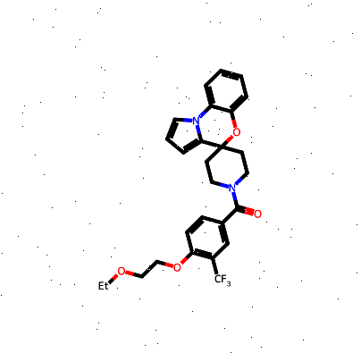 CCOCCOc1ccc(C(=O)N2CCC3(CC2)Oc2ccccc2-n2cccc23)cc1C(F)(F)F